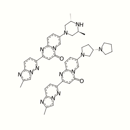 Cc1cn2nc(-c3cc(=O)n4cc(N5CC[C@H](N6CCCC6)C5)ccc4n3)ccc2n1.Cc1cn2nc(-c3cc(=O)n4cc(N5C[C@H](C)N[C@@H](C)C5)ccc4n3)ccc2n1